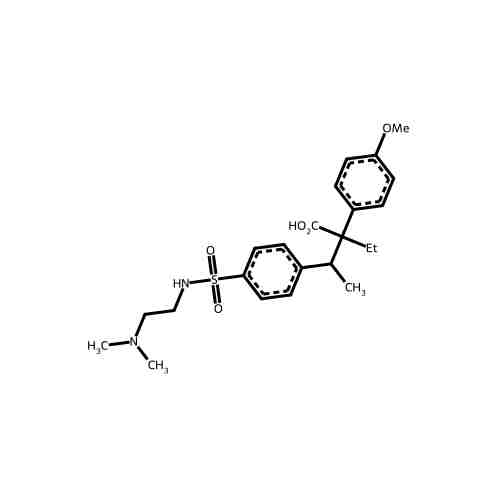 CCC(C(=O)O)(c1ccc(OC)cc1)C(C)c1ccc(S(=O)(=O)NCCN(C)C)cc1